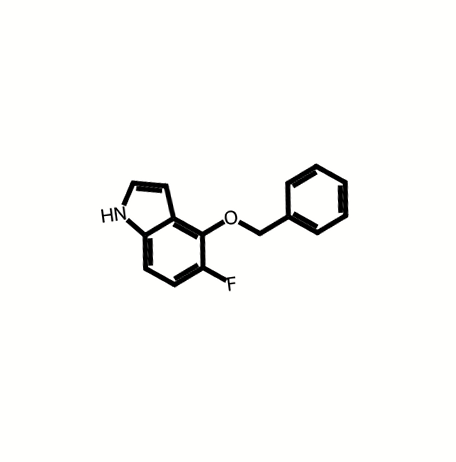 Fc1ccc2[nH]ccc2c1OCc1ccccc1